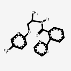 CCN(C(=O)c1ccccc1-c1ncccn1)C(C)COc1ccc(C(F)(F)F)cn1